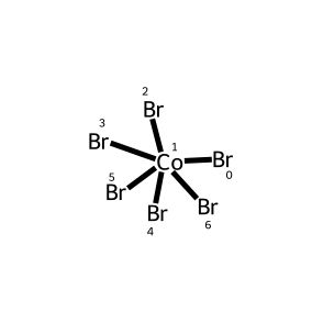 [Br][Co]([Br])([Br])([Br])([Br])[Br]